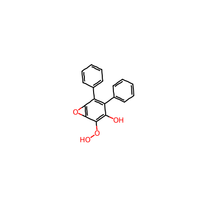 OOc1c(O)c(-c2ccccc2)c(-c2ccccc2)c2c1O2